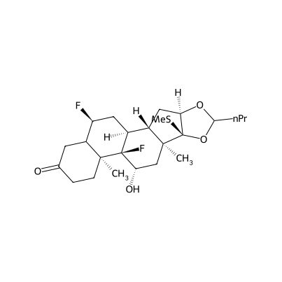 CCCC1O[C@@H]2C[C@H]3[C@@H]4C[C@H](F)C5CC(=O)CC[C@]5(C)[C@@]4(F)[C@@H](O)C[C@]3(C)[C@@]2(SC)O1